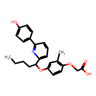 CCCCC(Oc1ccc(OCC(=O)O)c(C)c1)c1cccc(-c2ccc(O)cc2)n1